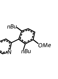 CCCCc1ccc(OC)c(CCCC)c1-c1ccccn1